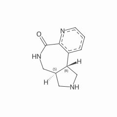 O=C1NC[C@@H]2CNC[C@H]2c2cccnc21